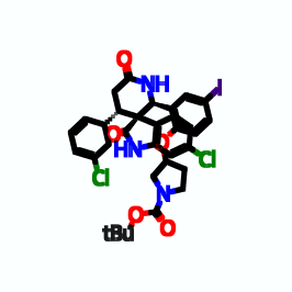 CC(C)(C)OC(=O)N1CCC(Oc2ccc(I)cc2[C@@H]2NC(=O)C[C@@H](C3C=CC=C(Cl)C3)[C@]23C(=O)Nc2cc(Cl)ccc23)C1